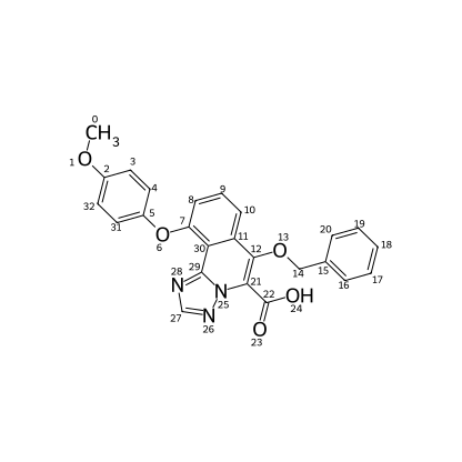 COc1ccc(Oc2cccc3c(OCc4ccccc4)c(C(=O)O)n4ncnc4c23)cc1